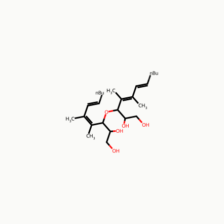 CCCCC=CC(C)=C(C)C(OC(C(C)=C(C)C=CCCCC)C(O)CO)C(O)CO